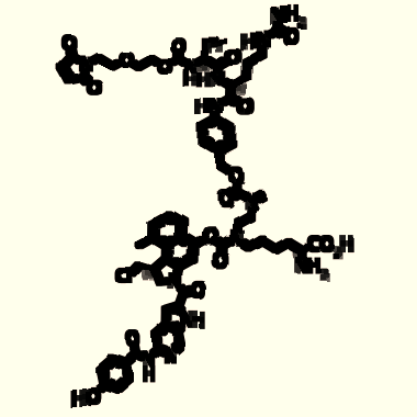 Cc1cccc2c(OC(=O)N(CCCC[C@H](N)C(=O)O)CCN(C)C(=O)OCc3ccc(NC(=O)[C@H](CCCNC(N)=O)NC(=O)[C@@H](NC(=O)OCCOCCN4C(=O)C=CC4=O)C(C)C)cc3)cc3c(c12)[C@H](CCl)CN3C(=O)c1cc2cc(NC(=O)c3ccc(O)cc3)ncc2[nH]1